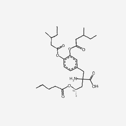 CCCCC(=O)O[C@@H](C)CC(N)(Cc1ccc(OC(=O)CC(C)CC)c(OC(=O)CC(C)CC)c1)C(=O)O